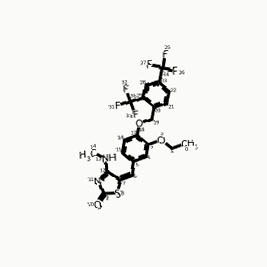 CCOc1cc(C=C2SC(=O)N=C2NC)ccc1OCc1ccc(C(F)(F)F)cc1C(F)(F)F